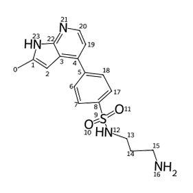 Cc1cc2c(-c3ccc(S(=O)(=O)NCCCN)cc3)ccnc2[nH]1